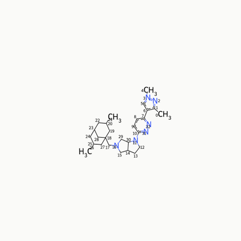 Cc1nn(C)cc1-c1ccc(N2CCC3CN(CC45CC(C)CC(CC(C)C4)C5)CC32)nn1